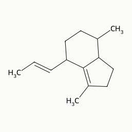 CC=CC1CCC(C)C2CCC(C)=C12